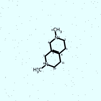 CN1CCC2=C(C1)CN(C)CC2